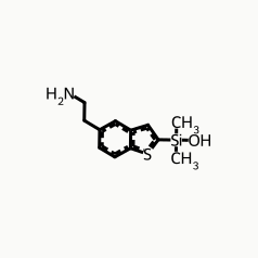 C[Si](C)(O)c1cc2cc(CCN)ccc2s1